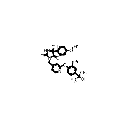 CCCc1cc(C(O)(C(F)(F)F)C(F)(F)F)ccc1Oc1cc(CN2C(=O)NC(C)(c3ccc(OC(C)C)cc3)C2=O)ccn1